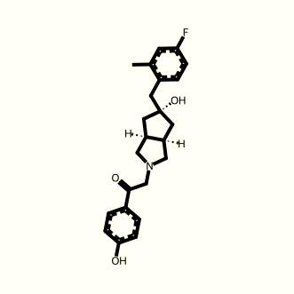 Cc1cc(F)ccc1C[C@@]1(O)C[C@H]2CN(CC(=O)c3ccc(O)cc3)C[C@H]2C1